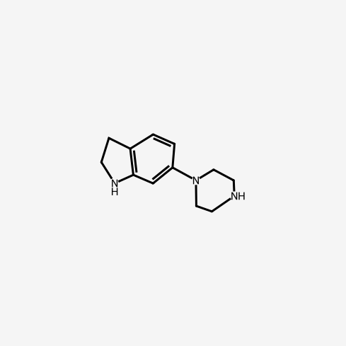 c1cc2c(cc1N1CCNCC1)NCC2